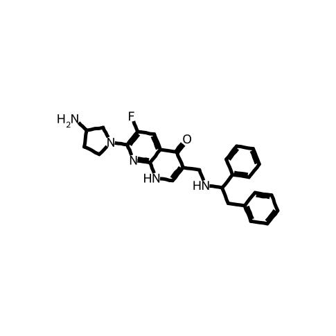 NC1CCN(c2nc3[nH]cc(CNC(Cc4ccccc4)c4ccccc4)c(=O)c3cc2F)C1